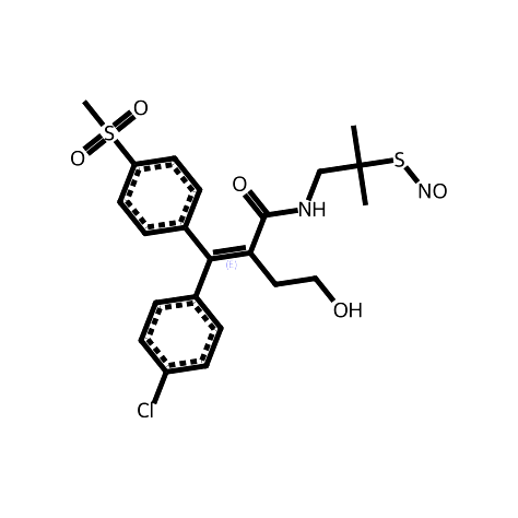 CC(C)(CNC(=O)/C(CCO)=C(/c1ccc(Cl)cc1)c1ccc(S(C)(=O)=O)cc1)SN=O